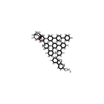 Cc1ccc2c(n1)oc1c(-c3ccc(-c4ccccc4-c4cc(-c5ccccc5-c5ccc(-c6ccccc6)nc5)cc(-c5ccccc5-c5ccc(-c6ccc7c(c6)C6CC8CC(CC7C8)C6)nc5)c4)cn3)cccc12